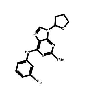 CSc1nc(Nc2cccc(N)c2)c2ncn(C3CCCO3)c2n1